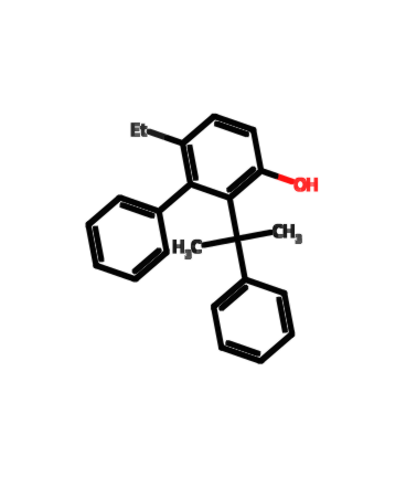 CCc1ccc(O)c(C(C)(C)c2ccccc2)c1-c1ccccc1